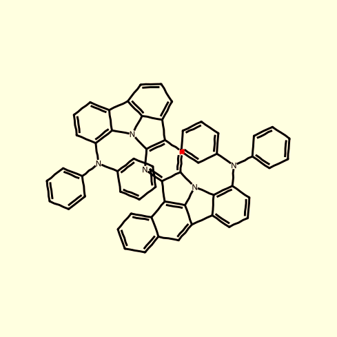 c1ccc(N(c2ccccc2)c2cccc3c4cccc5c6nc7c(nc6n(c23)c45)c2c3ccccc3cc3c4cccc(N(c5ccccc5)c5ccccc5)c4n7c32)cc1